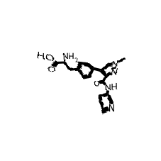 Cn1cc(-c2ccc(C[C@H](N)C(=O)O)cc2)c(C(=O)Nc2cccnc2)n1